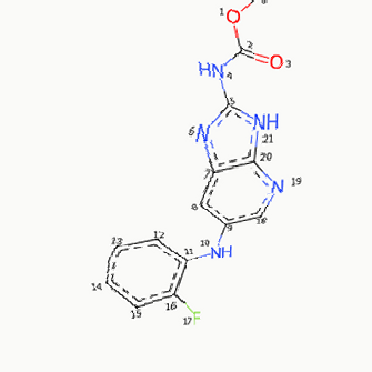 COC(=O)Nc1nc2cc(Nc3ccccc3F)cnc2[nH]1